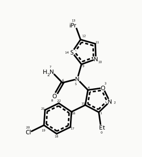 CCc1noc(N(C(N)=O)c2ncc(C(C)C)s2)c1-c1ccc(Cl)cc1